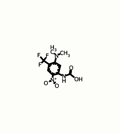 CN(C)c1cc(NC(=O)O)c([N+](=O)[O-])cc1C(F)(F)F